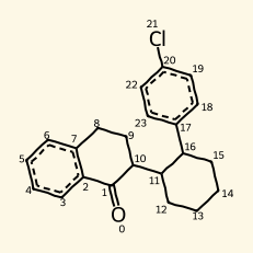 O=C1c2ccccc2CCC1C1CCCCC1c1ccc(Cl)cc1